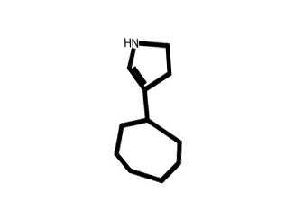 C1=C(C2CCCCCC2)CCN1